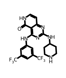 O=c1[nH]ccc2nc(NC3CCNCC3)nc(Nc3cc(C(F)(F)F)cc(C(F)(F)F)c3)c12